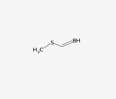 B=CSC